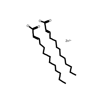 CCCCCCCCCCC=CC(=O)[O-].CCCCCCCCCCC=CC(=O)[O-].[Zn+2]